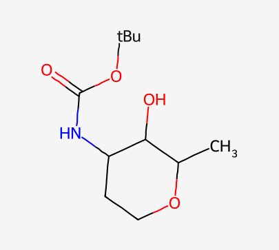 CC1OCCC(NC(=O)OC(C)(C)C)C1O